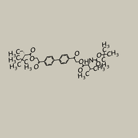 CC[C@H](C(=O)OCC(=O)c1ccc(-c2ccc(C(=O)COC(=O)[C@@H](NC(=O)OC(C)(C)C)C(C)C)cc2)cc1)C(C)(C)C